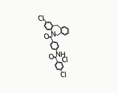 O=C(Nc1ccc(C(=O)N2Cc3ccccc3Cc3cc(Cl)ccc32)cc1)c1ccc(Cl)cc1Cl